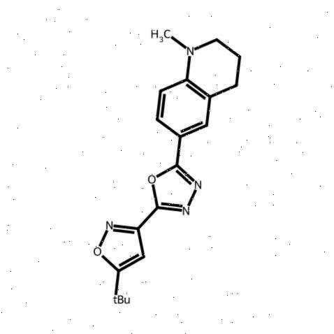 CN1CCCc2cc(-c3nnc(-c4cc(C(C)(C)C)on4)o3)ccc21